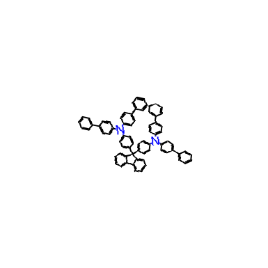 C1=CC(c2ccc(N(c3ccc(-c4ccccc4)cc3)c3ccc(C4(c5ccc(N(c6ccc(-c7ccccc7)cc6)c6ccc(-c7ccccc7)cc6)cc5)c5ccccc5-c5ccccc54)cc3)cc2)=CCC1